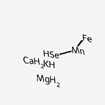 [CaH2].[Fe][Mn][SeH].[KH].[MgH2]